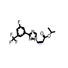 CC(C)OC(=O)/C=C\n1cnc(-c2cc(F)cc(C(F)(F)F)c2)n1